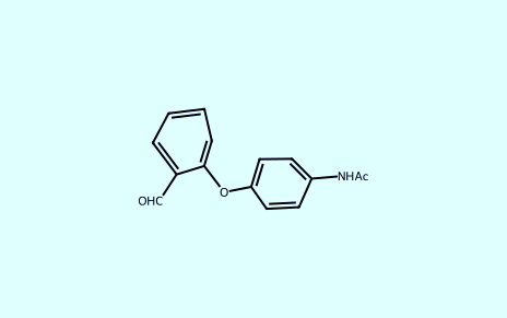 CC(=O)Nc1ccc(Oc2ccccc2C=O)cc1